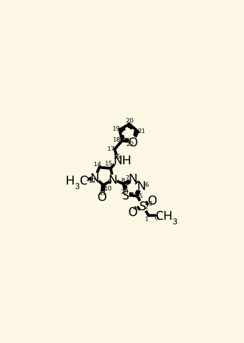 CCS(=O)(=O)c1nnc(N2C(=O)N(C)CC2NCc2ccco2)s1